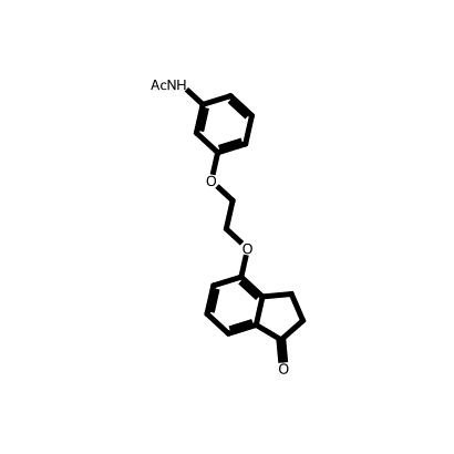 CC(=O)Nc1cccc(OCCOc2cccc3c2CCC3=O)c1